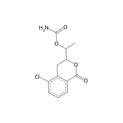 CC(OC(N)=O)C1Cc2c(Cl)cccc2C(=O)O1